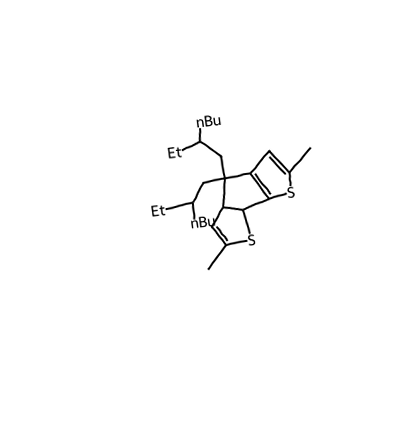 CCCCC(CC)CC1(CC(CC)CCCC)c2cc(C)sc2C2SC(C)=CC21